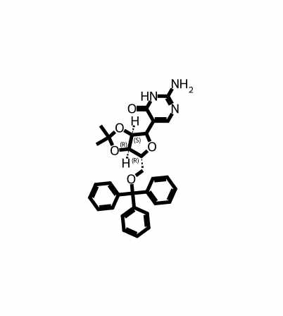 CC1(C)O[C@@H]2[C@@H](COC(c3ccccc3)(c3ccccc3)c3ccccc3)OC(c3cnc(N)[nH]c3=O)[C@@H]2O1